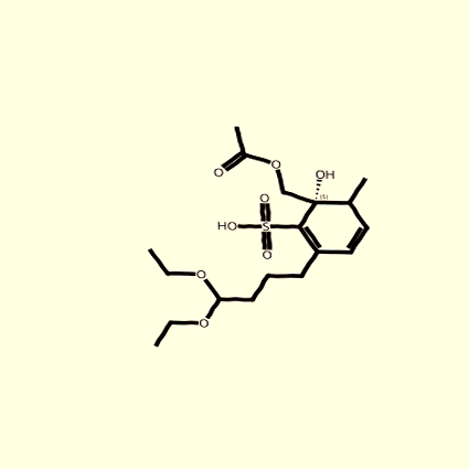 CCOC(CCCC1=C(S(=O)(=O)O)[C@@](O)(COC(C)=O)C(C)C=C1)OCC